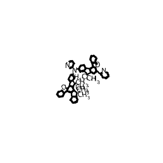 CC1(C)c2cc(N(c3cccnc3)c3ccc4c(c3)C(C)(C)c3c5c(c6c(oc7ccccc76)c3-4)-c3ccccc3C5(C)C)ccc2-c2c1cc(-c1ccccn1)c1oc3ccccc3c21